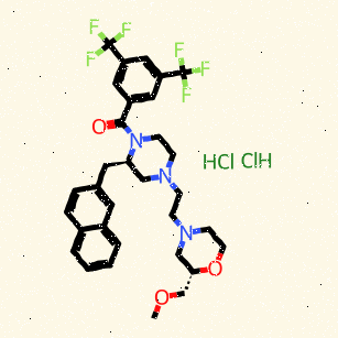 COC[C@@H]1CN(CCN2CCN(C(=O)c3cc(C(F)(F)F)cc(C(F)(F)F)c3)[C@H](Cc3ccc4ccccc4c3)C2)CCO1.Cl.Cl